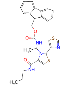 [CH2]CCNC(=O)C1=CSC(c2cscn2)N1C(C)NC(=O)OCC1c2ccccc2-c2ccccc21